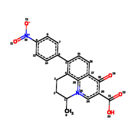 CC1CCc2c(-c3ccc([N+](=O)[O-])cc3)ccc3c(=O)c(C(=O)O)cn1c23